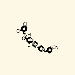 N#Cc1ccc(CN2CCC(N3CCN(c4ncc(C(=O)NCc5ccc(Cl)cc5Cl)cc4Cl)CC3)CC2)cc1